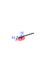 CCCCCCCCCCCC(=O)N[C@H](CC(N)=O)C(=O)O